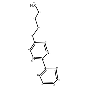 CCCCCc1cnc(-c2ccccc2)nc1